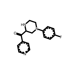 O=C(c1ccncc1)C1CN(c2ccc(F)cc2)CCN1